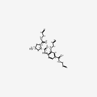 C=CCOC(=O)c1ccc(NC(=O)[C@@H]2C[C@H](S)CN2C(=O)OCC=C)c(OCC=C)c1